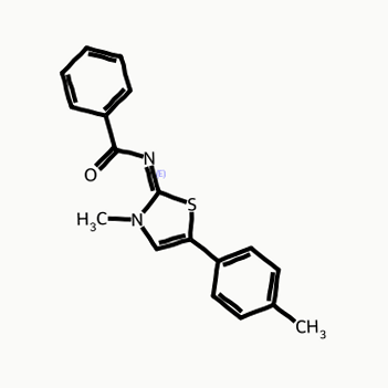 Cc1ccc(-c2cn(C)/c(=N\C(=O)c3ccccc3)s2)cc1